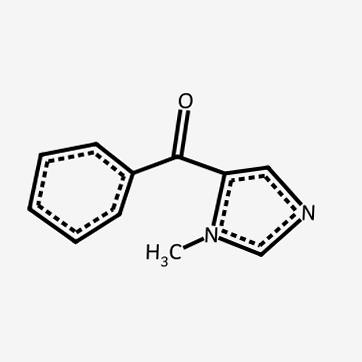 Cn1cncc1C(=O)c1ccccc1